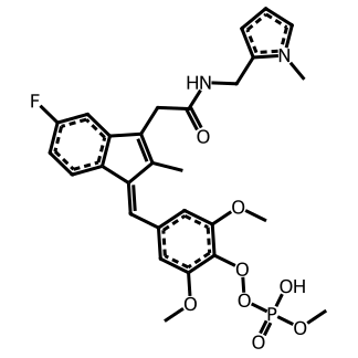 COc1cc(C=C2C(C)=C(CC(=O)NCc3cccn3C)c3cc(F)ccc32)cc(OC)c1OOP(=O)(O)OC